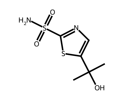 CC(C)(O)c1cnc(S(N)(=O)=O)s1